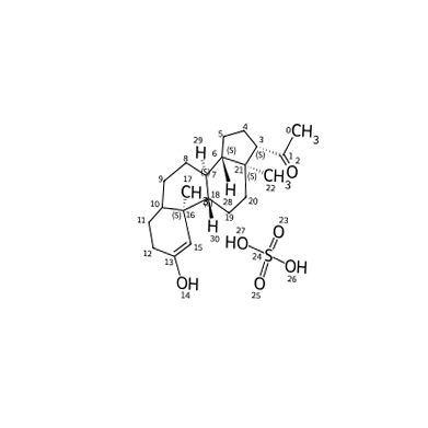 CC(=O)[C@H]1CC[C@H]2[C@@H]3CCC4CCC(O)=C[C@]4(C)[C@H]3CC[C@]12C.O=S(=O)(O)O